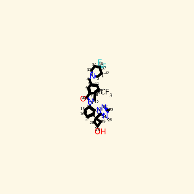 C[C@@H]1CN(Cc2cc3c(c(C(F)(F)F)c2)CN(c2cccc([C@]4(c5nncn5C)C[C@H](O)C4)c2)C3=O)CCC1(F)F